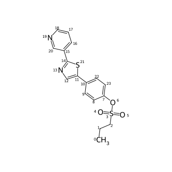 CCCS(=O)(=O)Oc1ccc(-c2cnc(-c3cccnc3)s2)cc1